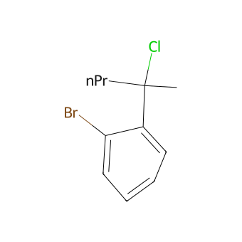 CCCC(C)(Cl)c1ccccc1Br